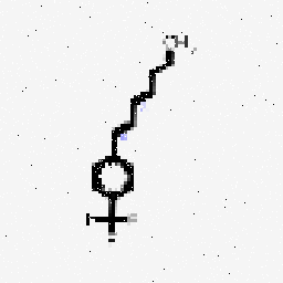 C=CC/C=C/C=C/c1ccc(C(F)(F)F)cc1